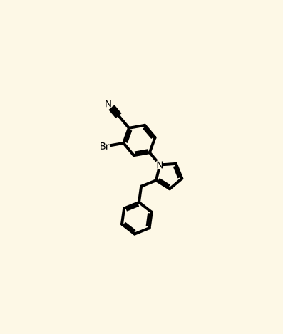 N#Cc1ccc(-n2cccc2Cc2ccccc2)cc1Br